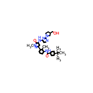 Cc1c(NC(=O)c2ccc(C(C)(C)C)cc2)cccc1-c1cc(Nc2ccnc(N3CCC(CO)C3)n2)c(=O)n(C)n1